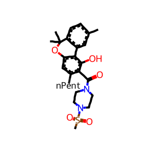 CCCCCc1cc2c(c(O)c1C(=O)N1CCN(S(C)(=O)=O)CC1)-c1cc(C)ccc1C(C)(C)O2